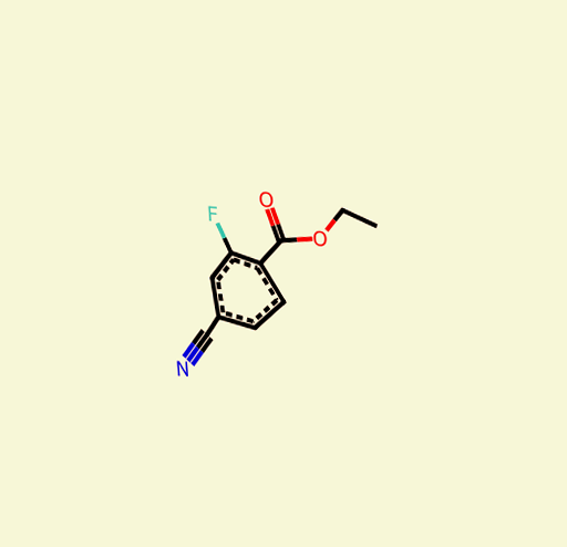 CCOC(=O)c1ccc(C#N)cc1F